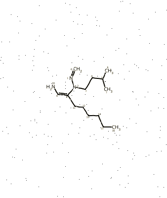 C=NN(CCC(C)C)/C(=C\N)CCCCCC